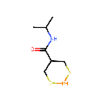 CC(C)NC(=O)C1CSPSC1